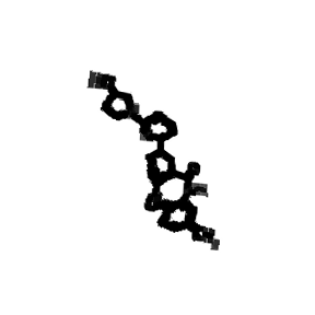 Cc1ccc2c(c1)NC(=O)c1cc(-c3cccc(N4CCC(O)C4)n3)ccc1O2